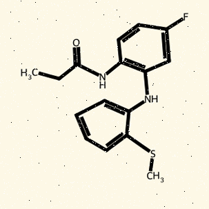 CCC(=O)Nc1ccc(F)cc1Nc1ccccc1SC